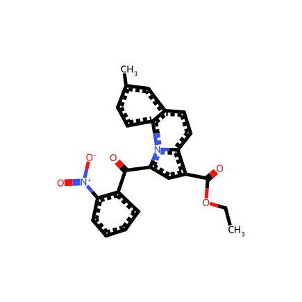 CCOC(=O)c1cc(C(=O)c2ccccc2[N+](=O)[O-])n2c1ccc1cc(C)ccc12